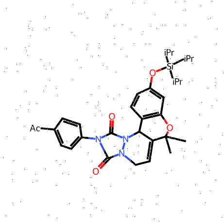 CC(=O)c1ccc(-n2c(=O)n3n(c2=O)C2C(=CC3)C(C)(C)Oc3cc(O[Si](C(C)C)(C(C)C)C(C)C)ccc32)cc1